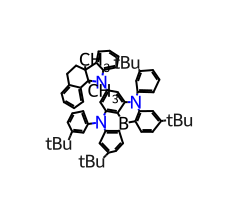 CC(C)(C)c1cccc(N2c3cc(C(C)(C)C)ccc3B3c4ccc(C(C)(C)C)cc4N(c4cccc(C(C)(C)C)c4)c4cc(N5c6ccccc6C6(C)CCc7ccccc7C56C)cc2c43)c1